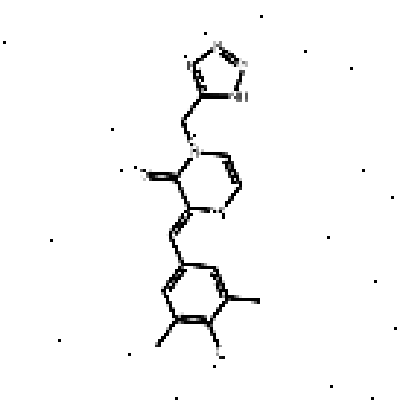 Cc1cc(/C=C2\SC=CN(Cc3nnn[nH]3)C2=O)cc(C)c1O